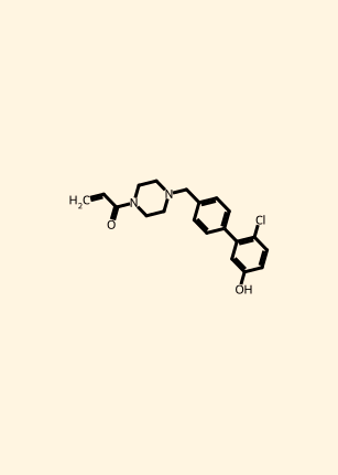 C=CC(=O)N1CCN(Cc2ccc(-c3cc(O)ccc3Cl)cc2)CC1